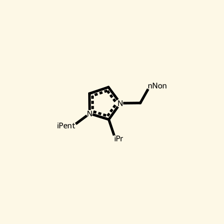 CCCCCCCCCCn1cc[n+](C(C)CCC)c1C(C)C